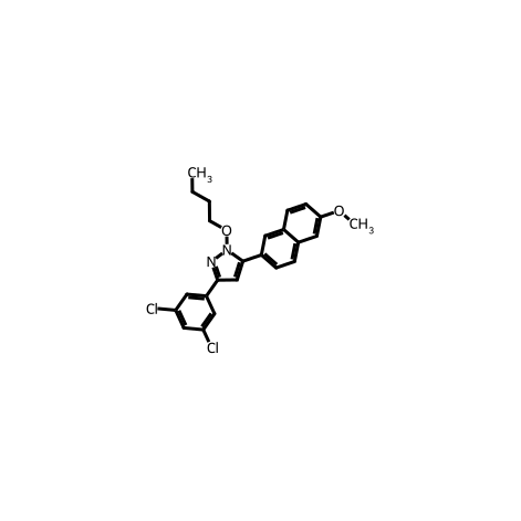 CCCCOn1nc(-c2cc(Cl)cc(Cl)c2)cc1-c1ccc2cc(OC)ccc2c1